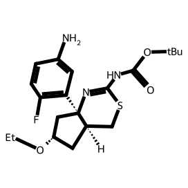 CCO[C@H]1C[C@@H]2CSC(NC(=O)OC(C)(C)C)=N[C@]2(c2cc(N)ccc2F)C1